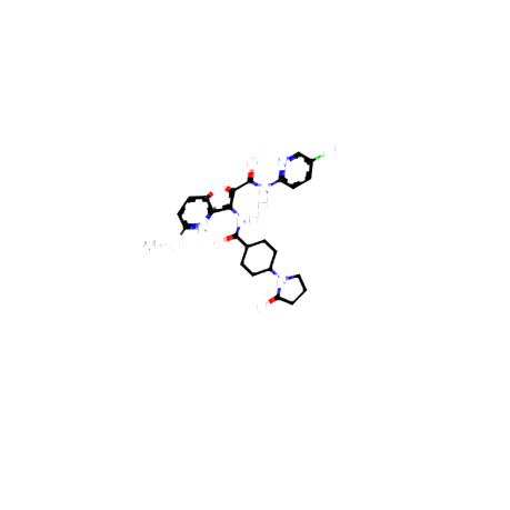 COc1ccc2oc(C(=O)Nc3ccc(Cl)cn3)c(NC(=O)C3CCC(N4CCCC4=O)CC3)c2n1